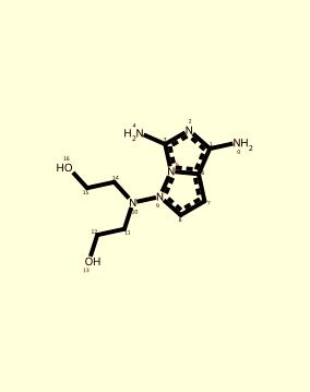 Nc1nc(N)n2c1ccn2N(CCO)CCO